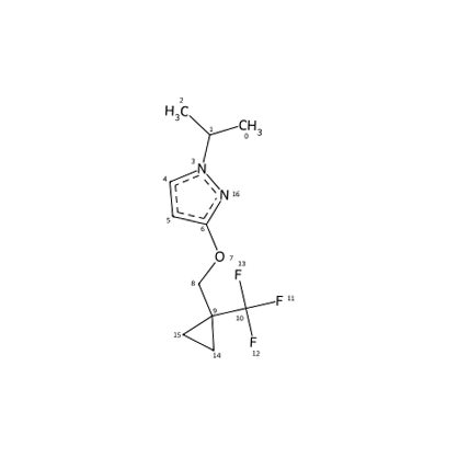 CC(C)n1ccc(OCC2(C(F)(F)F)CC2)n1